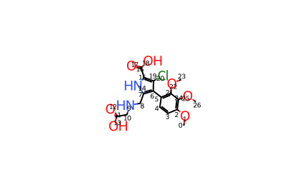 COc1ccc(-c2c(CNCC(=O)O)[nH]c(C(=O)O)c2Cl)c(OC)c1OC